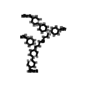 CCCCC[C@H]1CC[C@H]([C@H]2CC[C@H](C(CCOCCC([C@H]3CC[C@H](CCC)CC3)[C@H]3CC[C@H]([C@H]4CC[C@H](CCCCC)CC4)CC3)[C@H]3CC[C@H](CCC)CC3)CC2)CC1